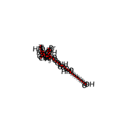 CC(=O)c1nn(CC(=O)N2[C@H](C(=O)Nc3nc(Br)ccc3C)C[C@@]3(CNC(=O)COCCOCCNC(=O)COCCOCCNC(=O)CCCCCCCCCCCCCCCCC(=O)O)C[C@@H]23)c2ccc(OC(=O)NC3CC3)cc12